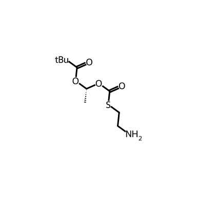 C[C@@H](OC(=O)SCCN)OC(=O)C(C)(C)C